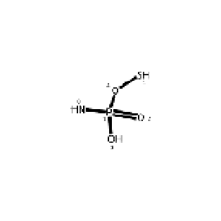 [NH]P(=O)(O)OS